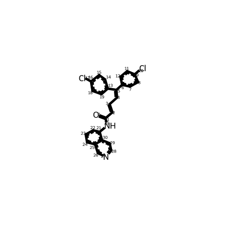 O=C(/C=C/C=C(c1ccc(Cl)cc1)c1ccc(Cl)cc1)Nc1cccc2cnccc12